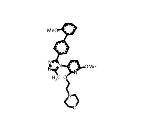 COc1ccc(-n2c(C)nnc2-c2ccc(-c3ccccc3OC)cc2)c(OCCN2CCOCC2)n1